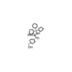 CON(NC(c1ccccc1)(c1ccccc1)c1ccccc1)C(=O)c1ccc(CO)cc1